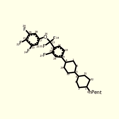 CCCCCC1CCC(C2CCC(c3ccc(C(F)(F)Oc4cc(F)c(F)c(F)c4)c(F)c3)CC2)CC1